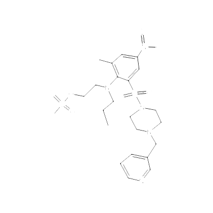 CCCN(CCOS(C)(=O)=O)c1c(C)cc([N+](=O)[O-])cc1S(=O)(=O)N1CCN(Cc2cccnc2)CC1